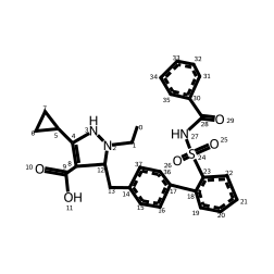 CCN1NC(C2CC2)=C(C(=O)O)C1Cc1ccc(-c2ccccc2S(=O)(=O)NC(=O)c2ccccc2)cc1